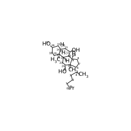 CC(C)CCCC(C)[C@H]1CC[C@H]2[C@@H]3[C@H](O)C[C@@H]4C[C@H](O)CC[C@]4(C)[C@H]3C[C@H](O)[C@]12C